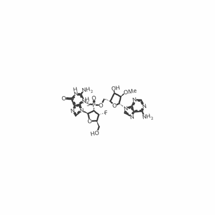 CO[C@@H]1[C@H](O)[C@@H](COP(=O)(S)[C@@H]2[C@H](F)[C@@H](CO)O[C@H]2n2cnc3c(=O)[nH]c(N)nc32)O[C@H]1n1cnc2c(N)ncnc21